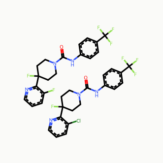 O=C(Nc1ccc(C(F)(F)F)cc1)N1CCC(F)(c2ncccc2Cl)CC1.O=C(Nc1ccc(C(F)(F)F)cc1)N1CCC(F)(c2ncccc2F)CC1